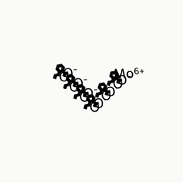 C=CCc1ccccc1C(=O)[O-].C=CCc1ccccc1C(=O)[O-].C=CCc1ccccc1C(=O)[O-].C=CCc1ccccc1C(=O)[O-].C=CCc1ccccc1C(=O)[O-].C=CCc1ccccc1C(=O)[O-].[Mo+6]